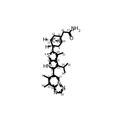 Cc1c(-c2[nH]c3sc([C@H]4CC5CC[C@H]4CN5CC(N)=O)c(C)c3c2C(C)C)cn2ncnc2c1C